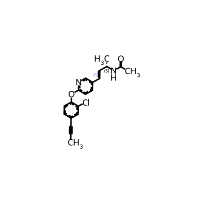 CC#Cc1ccc(Oc2ccc(/C=C/[C@H](C)NC(C)=O)cn2)c(Cl)c1